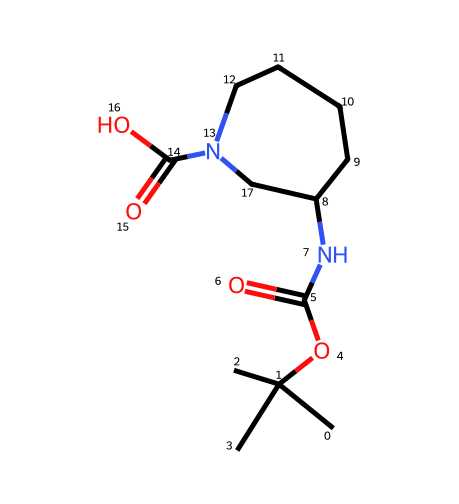 CC(C)(C)OC(=O)NC1CCCCN(C(=O)O)C1